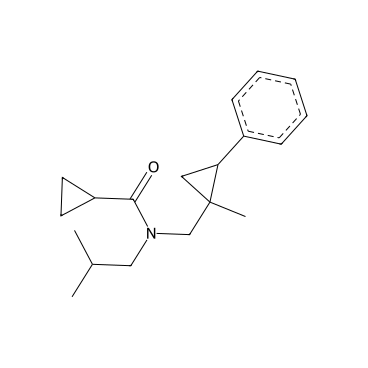 CC(C)CN(CC1(C)CC1c1ccccc1)C(=O)C1CC1